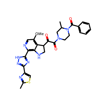 COc1cnc(-c2nc(-c3csc(C)n3)n[nH]2)c2c1C(C(=O)C(=O)N1CCN(C(=O)c3ccccc3)C(C)C1)CN2